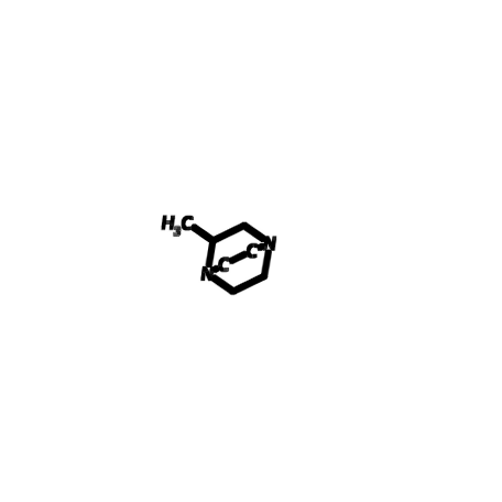 CC1CN2CCN1CC2